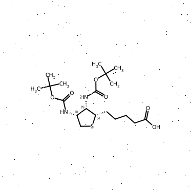 CC(C)(C)OC(=O)N[C@H]1[C@@H](NC(=O)OC(C)(C)C)CS[C@H]1CCCCC(=O)O